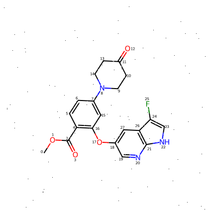 COC(=O)c1ccc(N2CCC(=O)CC2)cc1Oc1cnc2[nH]cc(F)c2c1